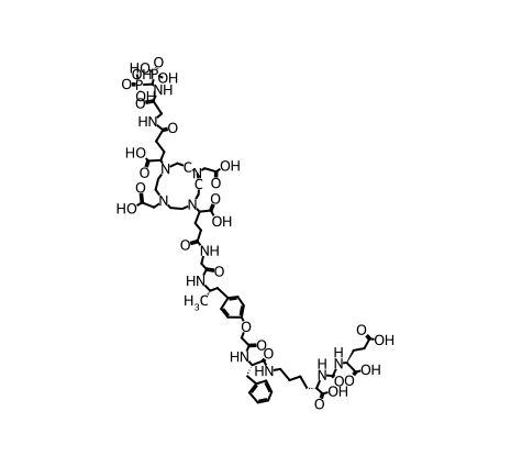 C[C@@H](Cc1ccc(OCC(=O)N[C@@H](Cc2ccccc2)C(=O)NCCCC[C@H](NC(=O)N[C@@H](CCC(=O)O)C(=O)O)C(=O)O)cc1)NC(=O)CNC(=O)CCC(C(=O)O)N1CCN(CC(=O)O)CCN(C(CCC(=O)NCC(=O)NC(P(=O)(O)O)P(=O)(O)O)C(=O)O)CCN(CC(=O)O)CC1